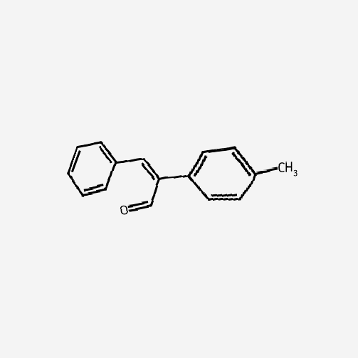 Cc1ccc(C(C=O)=Cc2ccccc2)cc1